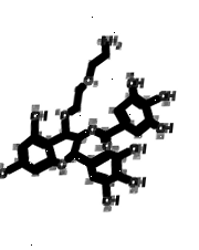 NCCOCCOC1c2c(O)cc(O)cc2OC(c2cc(O)c(O)c(O)c2)C1OC(=O)c1cc(O)c(O)c(O)c1